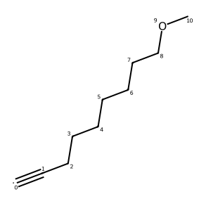 [C]#CCCCCCCCOC